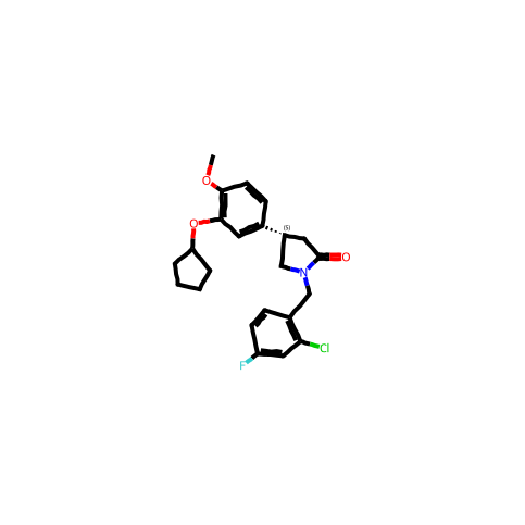 COc1ccc([C@@H]2CC(=O)N(Cc3ccc(F)cc3Cl)C2)cc1OC1CCCC1